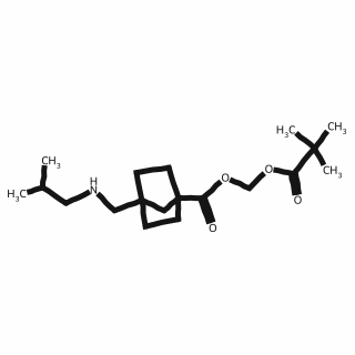 CC(C)CNCC12CCC(C(=O)OCOC(=O)C(C)(C)C)(CC1)C2